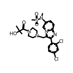 CN(c1ccc2nc(-c3ccc(Cl)cc3Cl)c(CN3CCN(C(=O)C(C)(C)O)CC3)n2c1)S(C)(=O)=O